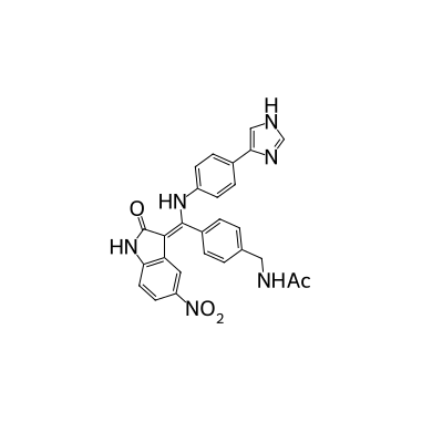 CC(=O)NCc1ccc(/C(Nc2ccc(-c3c[nH]cn3)cc2)=C2/C(=O)Nc3ccc([N+](=O)[O-])cc32)cc1